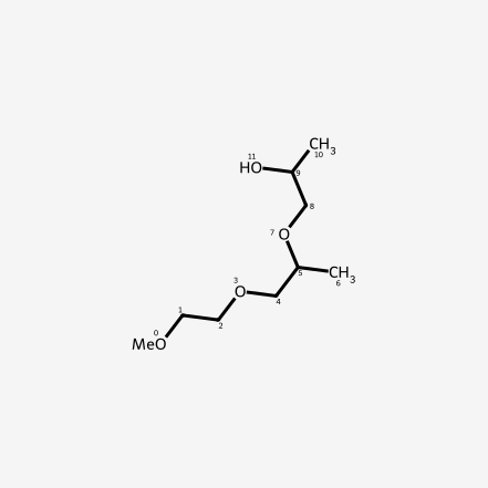 COCCOCC(C)OCC(C)O